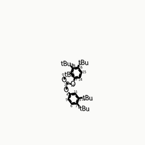 CC(C)(C)OP(Oc1ccc(C(C)(C)C)c(C(C)(C)C)c1)Oc1ccc(C(C)(C)C)c(C(C)(C)C)c1